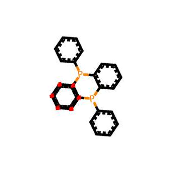 c1ccc(P(c2ccccc2)c2ccccc2P(c2ccccc2)c2ccccc2)cc1